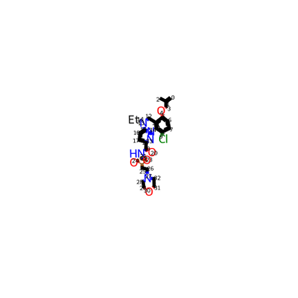 C=C(C)COc1ccc(Cl)cc1CN(CC)c1ccc(C(=O)NS(=O)(=O)CCN2CCOCC2)nn1